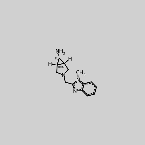 Cn1c(CN2C[C@@H]3[C@H](N)[C@@H]3C2)nc2ccccc21